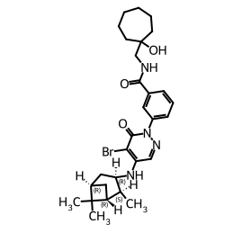 C[C@H]1[C@H]2C[C@H](C[C@H]1Nc1cnn(-c3cccc(C(=O)NCC4(O)CCCCCC4)c3)c(=O)c1Br)C2(C)C